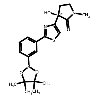 CN1CC[C@@](O)(c2csc(-c3cccc(B4OC(C)(C)C(C)(C)O4)c3)n2)C1=O